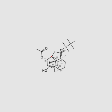 C=C1CC[C@H]2[C@@]3(CO)C[C@]3([C@@]3(C)CC[C@H](OC(C)=O)C[C@@H]3CO[Si](C)(C)C(C)(C)C)CC[C@]12C